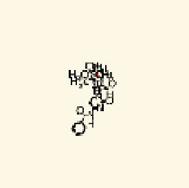 [2H][C@H](C)[C@]12CO[C@H]([C@H](n3ccc(NC(=O)c4ccccc4)nc3=O)O1)[C@H]2O[Si](C)(C)C(C)(C)C